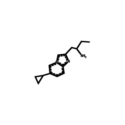 CCC(N)Cc1cn2cc(C3CC3)ccc2n1